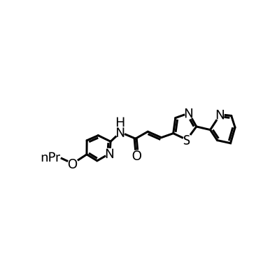 CCCOc1ccc(NC(=O)/C=C/c2cnc(-c3ccccn3)s2)nc1